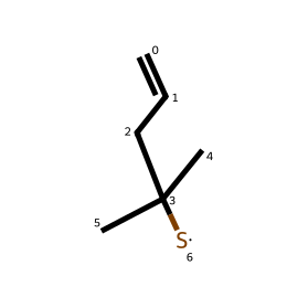 C=CCC(C)(C)[S]